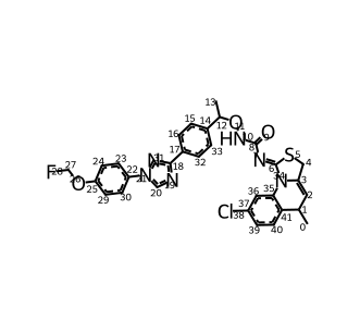 CC1C=C2CS/C(=N\C(=O)NOC(C)c3ccc(-c4ncn(-c5ccc(OCF)cc5)n4)cc3)N2c2cc(Cl)ccc21